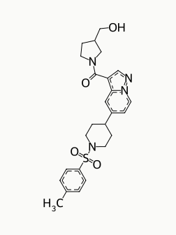 Cc1ccc(S(=O)(=O)N2CCC(c3ccn4ncc(C(=O)N5CCC(CO)C5)c4c3)CC2)cc1